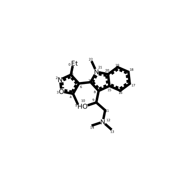 CCc1noc(C)c1-c1c(C(O)CN(C)C)c2ccccc2n1C